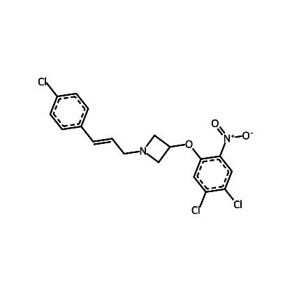 O=[N+]([O-])c1cc(Cl)c(Cl)cc1OC1CN(C/C=C/c2ccc(Cl)cc2)C1